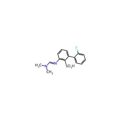 CN(C)C=Nc1cccc(-c2ccccc2F)c1S(=O)(=O)O